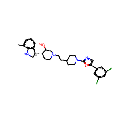 Cc1cccc2c1NC[C@H]2C1CCN(CCC2CCN(c3ncc(-c4cc(F)cc(F)c4)o3)CC2)CC1O